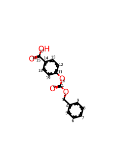 O=C(OCc1ccccc1)Oc1ccc(C(=O)O)cc1